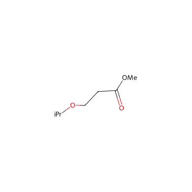 COC(=O)CCOC(C)C